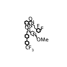 COCCN1CCC(N(Cc2ccc(-c3ccc(C(F)(F)F)cc3)cc2)C(=O)Cn2c(CCc3cccc(F)c3F)nc(=O)c3cccnc32)CC1